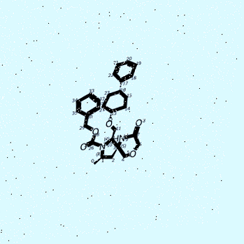 C[C@@H]1C[C@@]2(COCC(=O)N2)[C@H](CO[C@H]2CC[C@@H](c3ccccc3)CC2)N1C(=O)OCc1ccccc1